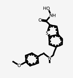 COc1ccc(CN(C)Cc2ccc3cc(C(=O)NO)sc3c2)cc1